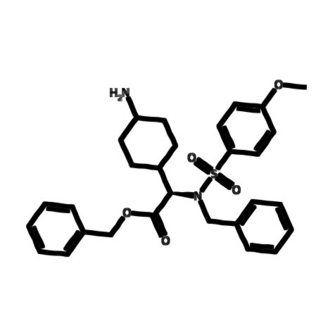 COc1ccc(S(=O)(=O)N(Cc2ccccc2)[C@@H](C(=O)OCc2ccccc2)C2CCC(N)CC2)cc1